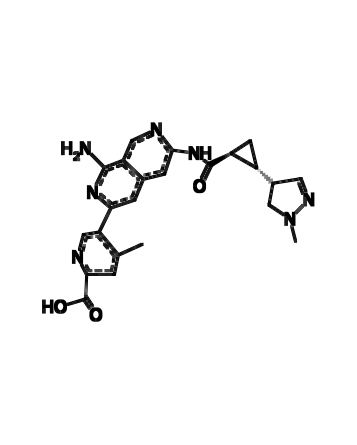 Cc1cc(C(=O)O)ncc1-c1cc2cc(NC(=O)[C@H]3C[C@@H]3C3C=NN(C)C3)ncc2c(N)n1